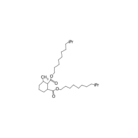 CC(C)CCCCCCCCOC(=O)C1CCCC(C)C1C(=O)OCCCCCCCCC(C)C